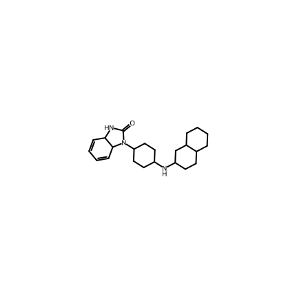 O=C1NC2C=CC=CC2N1C1CCC(NC2CCC3CCCCC3C2)CC1